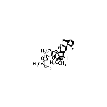 CC[C@@H](O[C@@]12CC3(C)C[C@@H](c4cc(-c5c(F)cccc5F)nnc41)C32CC)C(=O)NCC(=O)N(C)C